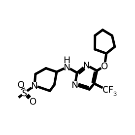 CS(=O)(=O)N1CCC(Nc2ncc(C(F)(F)F)c(OC3CCCCC3)n2)CC1